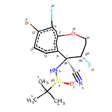 CC(C)(C)[S@+]([O-])N[C@@]1(C#N)c2ccc(Br)c(F)c2OC[C@@H]1F